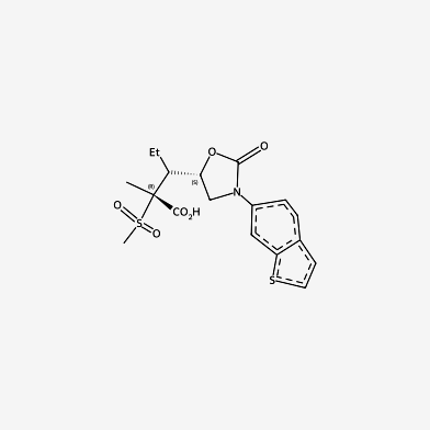 CCC([C@H]1CN(c2ccc3ccsc3c2)C(=O)O1)[C@](C)(C(=O)O)S(C)(=O)=O